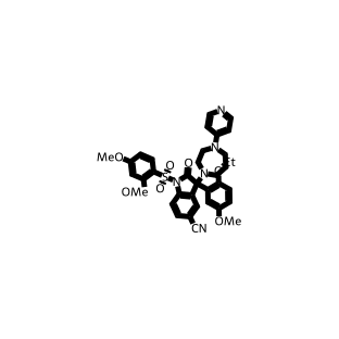 CCOc1ccc(OC)cc1C1(N2CCCN(c3ccncc3)CC2)C(=O)N(S(=O)(=O)c2ccc(OC)cc2OC)c2ccc(C#N)cc21